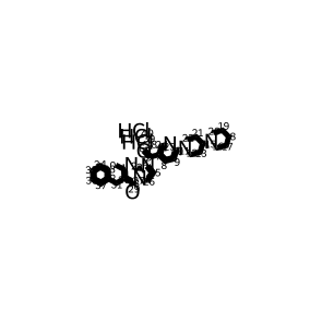 Cc1nc2n(C(=O)c3ccc(N4CCC(N5CCCCC5)CC4)nc3)ccn2c(=O)c1Cc1ccccc1.Cl.Cl.Cl